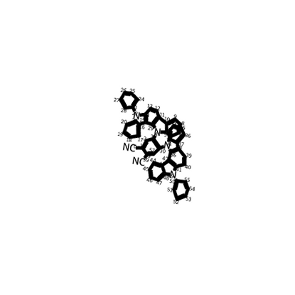 N#Cc1cc(-n2c3ccccc3c3ccc4c(c5ccccc5n4-c4ccccc4)c32)c(-n2c3ccccc3c3ccc4c(c5ccccc5n4-c4ccccc4)c32)cc1C#N